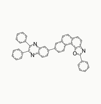 c1ccc(-c2nc3ccc4ccc5cc(-c6ccc7nc(-c8ccccc8)c(-c8ccccc8)nc7c6)ccc5c4c3o2)cc1